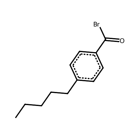 CCCCCc1ccc(C(=O)Br)cc1